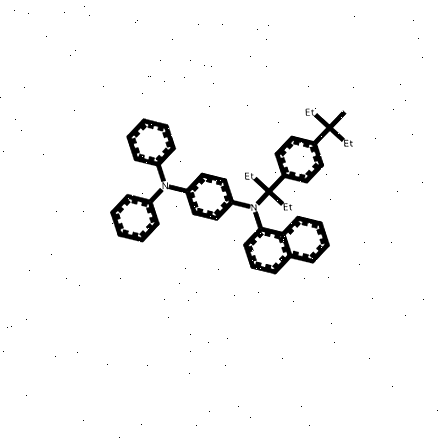 CCC(C)(CC)c1ccc(C(CC)(CC)N(c2ccc(N(c3ccccc3)c3ccccc3)cc2)c2cccc3ccccc23)cc1